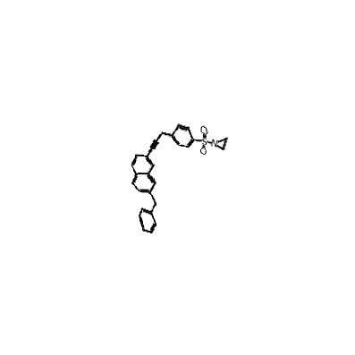 O=S(=O)(c1ccc(CC#Cc2ccc3ccc(Cc4ccccc4)cc3c2)cc1)N1CC1